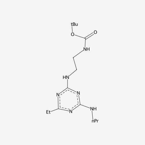 CCCNc1nc(CC)nc(NCCNC(=O)OC(C)(C)C)n1